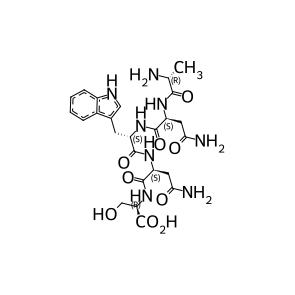 C[C@@H](N)C(=O)N[C@@H](CC(N)=O)C(=O)N[C@@H](Cc1c[nH]c2ccccc12)C(=O)N[C@@H](CC(N)=O)C(=O)N[C@H](CO)C(=O)O